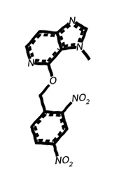 Cn1cnc2ccnc(OCc3ccc([N+](=O)[O-])cc3[N+](=O)[O-])c21